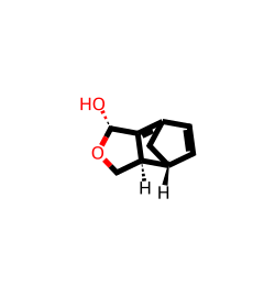 O[C@H]1OC[C@H]2C1=C1C=C[C@H]2C1